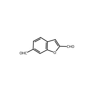 O=Cc1ccc2cc(C=O)oc2c1